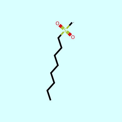 [CH2]S(=O)(=O)CCCCCCCC